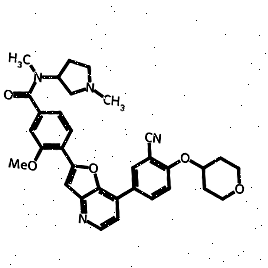 COc1cc(C(=O)N(C)C2CCN(C)C2)ccc1-c1cc2nccc(-c3ccc(OC4CCOCC4)c(C#N)c3)c2o1